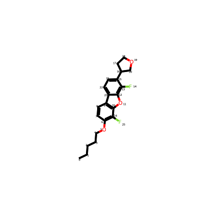 CCCCCOc1ccc2c(oc3c(F)c(C4CCOC4)ccc32)c1F